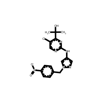 CC(C)(O)c1nc(Nc2cnn(Cc3ccc([N+](=O)[O-])cc3)c2)ncc1Cl